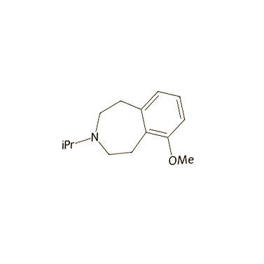 COc1cccc2c1CCN(C(C)C)CC2